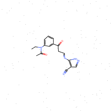 CCN(C(C)=O)c1cccc(C(=O)C/C=N/c2[nH]ncc2C#N)c1